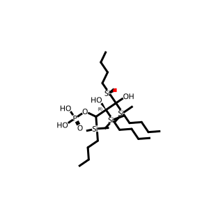 CCCC[Si](C)(C)C(OP(=O)(O)O)[C@](O)(C(O)([Si](C)(C)CCCC)[Si](C)(C)CCCC)[Si](C)(C)CCCC